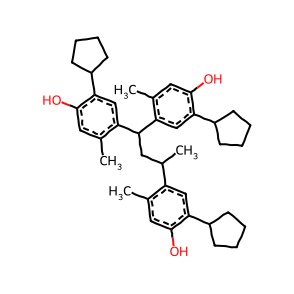 Cc1cc(O)c(C2CCCC2)cc1C(C)CC(c1cc(C2CCCC2)c(O)cc1C)c1cc(C2CCCC2)c(O)cc1C